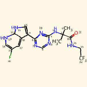 CC(C)(Nc1ncnc(C2=CNC3NC=C(F)C=C23)n1)C(=O)NCC(F)(F)F